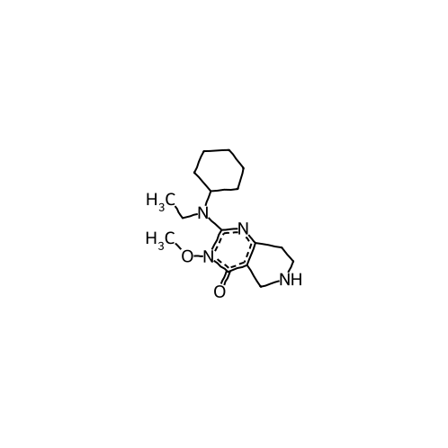 CCN(c1nc2c(c(=O)n1OC)CNCC2)C1CCCCC1